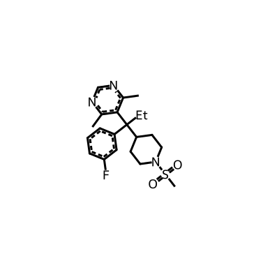 [CH2]CC(c1cccc(F)c1)(c1c(C)ncnc1C)C1CCN(S(C)(=O)=O)CC1